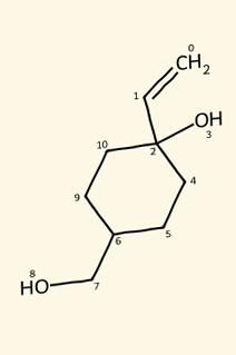 C=CC1(O)CCC(CO)CC1